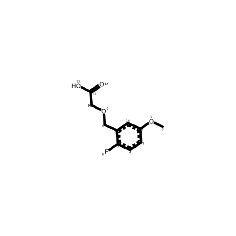 COc1ccc(F)c(COCC(=O)O)c1